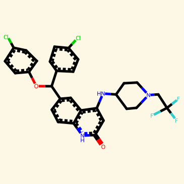 O=c1cc(NC2CCN(CC(F)(F)F)CC2)c2cc(C(Oc3ccc(Cl)cc3)c3ccc(Cl)cc3)ccc2[nH]1